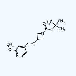 COc1cc(COC2CN(C(=O)OC(C)(C)C)C2)ccn1